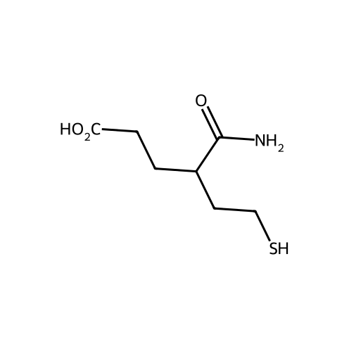 NC(=O)C(CCS)CCC(=O)O